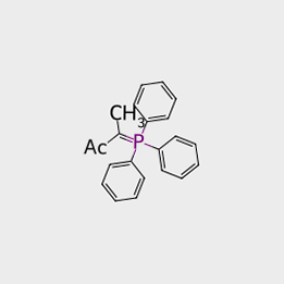 CC(=O)C(C)=P(c1ccccc1)(c1ccccc1)c1ccccc1